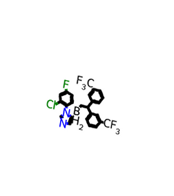 BCC(c1cccc(C(F)(F)F)c1)c1cccc(C(F)(F)F)c1.Fc1ccc(-n2ccnc2)c(Cl)c1